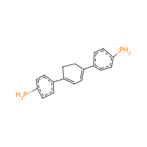 Pc1ccc(C2=CC=C(c3ccc(P)cc3)CC2)cc1